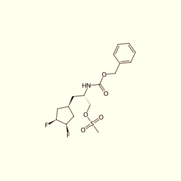 CS(=O)(=O)OC[C@H](C[C@H]1C[C@@H](F)[C@@H](F)C1)NC(=O)OCc1ccccc1